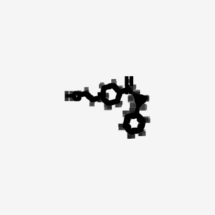 OCCN1CCC(N[C@@H]2C[C@H]2c2ccccc2)CC1